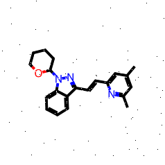 Cc1cc(C)nc(/C=C/c2nn(C3CCCCO3)c3ccccc23)c1